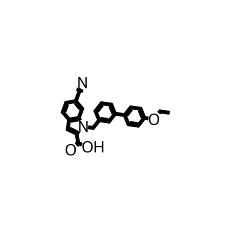 CCOc1ccc(-c2cccc(Cn3c(C(=O)O)cc4ccc(C#N)cc43)c2)cc1